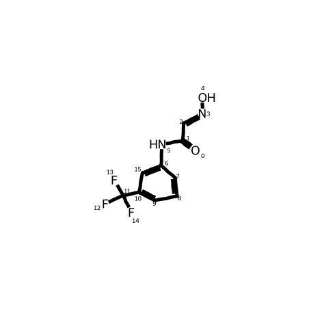 O=C(C=NO)Nc1cccc(C(F)(F)F)c1